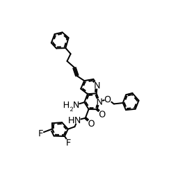 Nc1c(C(=O)NCc2ccc(F)cc2F)c(=O)n(OCc2ccccc2)c2ncc(C#CCCc3ccccc3)cc12